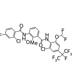 COc1c(NC(=O)c2ccc(F)cc2Cl)cccc1C(=O)Nc1c(Cl)cc(C(F)(C(F)(F)F)C(F)(F)F)cc1OC(F)F